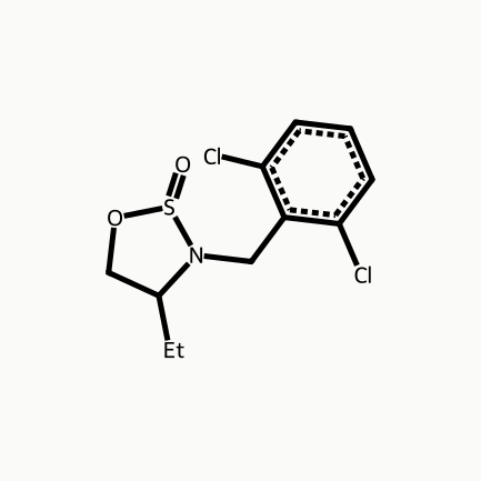 CCC1COS(=O)N1Cc1c(Cl)cccc1Cl